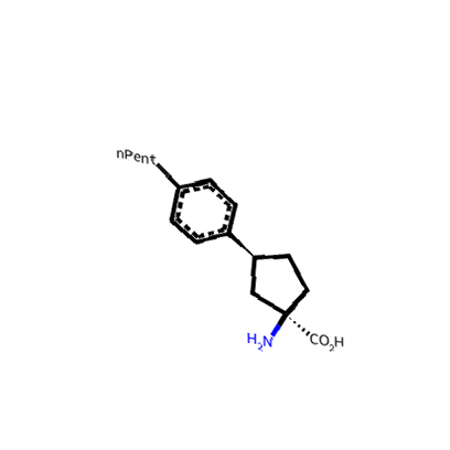 CCCCCc1ccc([C@H]2CC[C@](N)(C(=O)O)C2)cc1